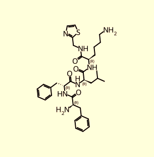 CC(C)C[C@@H](NC(=O)[C@@H](Cc1ccccc1)NC(=O)[C@H](N)Cc1ccccc1)C(=O)N[C@H](CCCCN)C(=O)NCc1nccs1